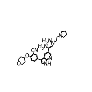 N#Cc1cc(-c2c[nH]c3ncc(/C(N)=C/N(N)CCN4CCCC4)cc23)ccc1OC1CCOCC1